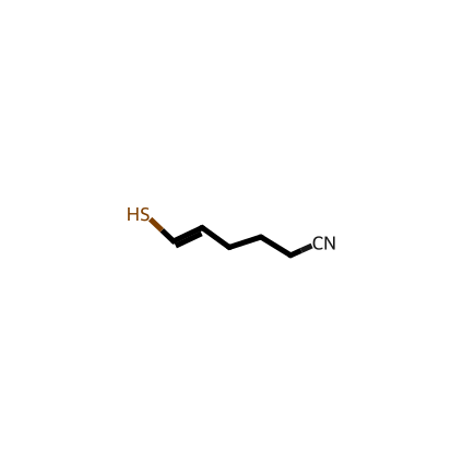 N#CCCCC=CS